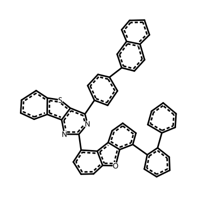 c1ccc(-c2ccccc2-c2cccc3c2oc2cccc(-c4nc(-c5ccc(-c6ccc7ccccc7c6)cc5)c5sc6ccccc6c5n4)c23)cc1